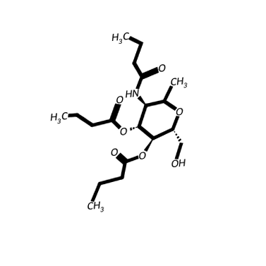 CCCC(=O)N[C@H]1C(C)O[C@H](CO)[C@@H](OC(=O)CCC)[C@@H]1OC(=O)CCC